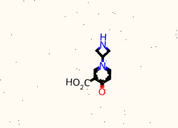 O=C(O)c1cn(C2CNC2)ccc1=O